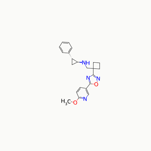 COc1ccc(-c2nc(C3(CN[C@H]4C[C@@H]4c4ccccc4)CCC3)no2)cn1